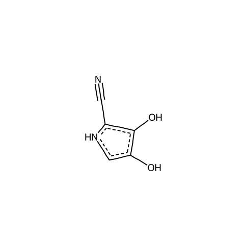 N#Cc1[nH]cc(O)c1O